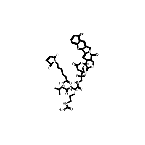 CC[C@@]1(OC(=O)CCC(F)(F)CNC(=O)[C@H](CCCNC(N)=O)NC(=O)[C@@H](NC(=O)CCCCCN2C(=O)C=CC2=O)C(C)C)C(=O)OCc2c1cc1n(c2=O)Cc2cc3c(Br)cccc3nc2-1